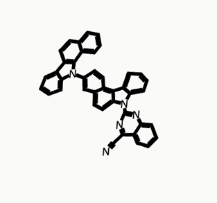 N#Cc1nc(-n2c3ccccc3c3c4ccc(-n5c6ccccc6c6ccc7ccccc7c65)cc4ccc32)nc2ccccc12